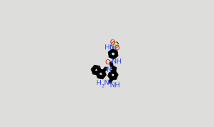 CS(=O)(=O)N[C@H]1CC[C@H](NC(=O)c2cc3ccc(C(=N)N)cc3n2Cc2cccc3ccccc23)CC1